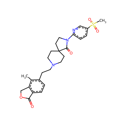 Cc1c(CCN2CCC3(CC2)CCN(c2ccc(S(C)(=O)=O)cn2)C3=O)ccc2c1COC2=O